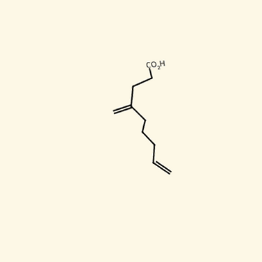 C=CCCCC(=C)CCC(=O)O